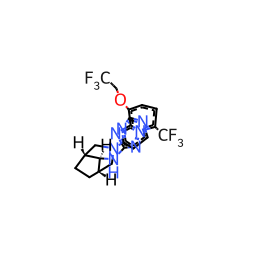 FC(F)(F)COc1ccc(C(F)(F)F)n2nc(N[C@@H]3[C@@H]4CC[C@H]3CN(c3ccncn3)C4)nc12